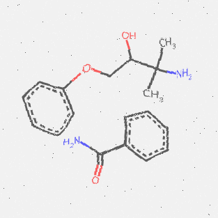 CC(C)(N)C(O)COc1ccccc1.NC(=O)c1ccccc1